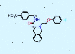 C[C@H](NC(=O)[C@H]1Cc2ccccc2CN1CCOc1ccc(F)cc1)c1ccc(C(=O)O)cc1